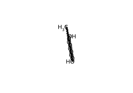 CCCCCCCCCC(O)COCCOCCOCCOCCOCCOCCOCCO